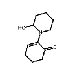 O=C1CCCC=C1N1CCCCC1O